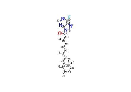 CC1=C(/C=C/C(C)=C/C=C/C(C)=C/C(=O)n2cnc3c(F)ncnc32)C(C)(C)CCC1C